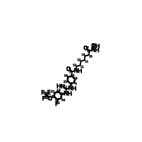 N=C(Nc1ccc(C(=O)NCCCCCCC(=O)NO)cc1)Nc1ccc(OC(F)(F)F)c(F)c1